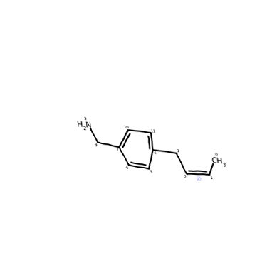 C/C=C\Cc1ccc(CN)cc1